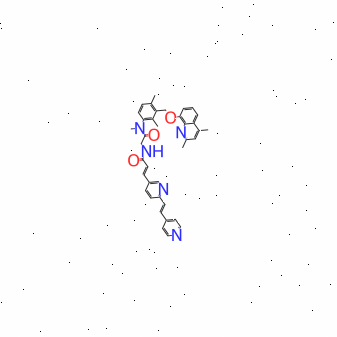 Cc1cc(C)c2cccc(OCc3c(C)ccc(N(C)C(=O)CNC(=O)C=Cc4ccc(C=Cc5ccncc5)nc4)c3C)c2n1